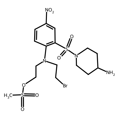 CS(=O)(=O)OCCN(CCBr)c1ccc([N+](=O)[O-])cc1S(=O)(=O)N1CCC(N)CC1